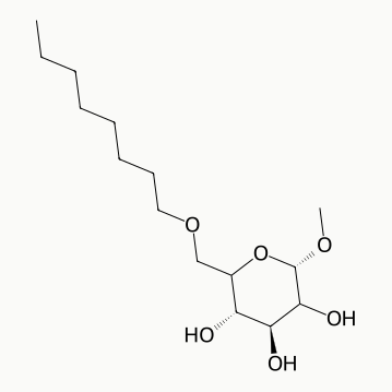 CCCCCCCCOCC1O[C@H](OC)C(O)[C@@H](O)[C@@H]1O